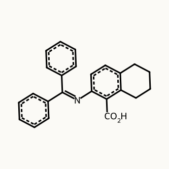 O=C(O)c1c(N=C(c2ccccc2)c2ccccc2)ccc2c1CCCC2